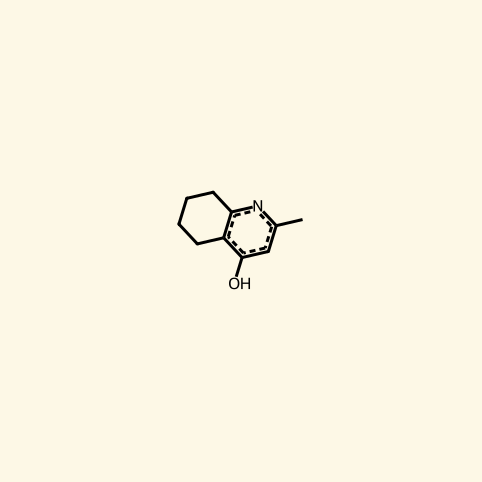 Cc1cc(O)c2c(n1)CCCC2